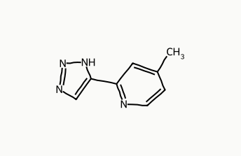 Cc1ccnc(-c2cnn[nH]2)c1